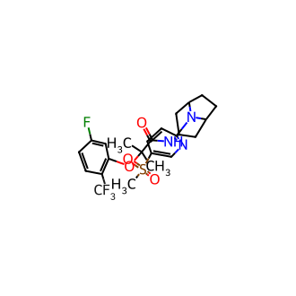 CC(C)(Oc1cc(F)ccc1C(F)(F)F)C(=O)NC1CC2CCC(C1)N2c1ccc(S(C)(=O)=O)cn1